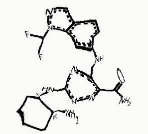 NC(=O)c1nnc(N[C@@H]2CCCC[C@@H]2N)nc1Nc1ccc2cnn(C(F)F)c2c1